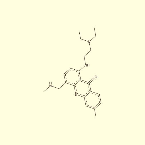 CCN(CC)CCNc1ccc(CNC)c2sc3cc(C)ccc3c(=O)c12